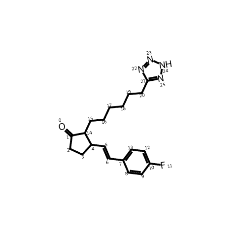 O=C1CCC(C=Cc2ccc(F)cc2)C1CCCCCCc1nn[nH]n1